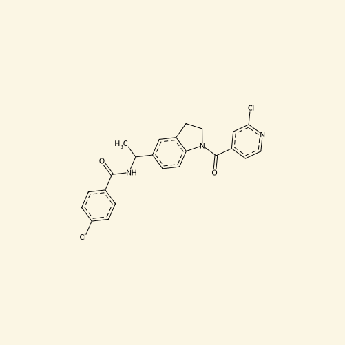 CC(NC(=O)c1ccc(Cl)cc1)c1ccc2c(c1)CCN2C(=O)c1ccnc(Cl)c1